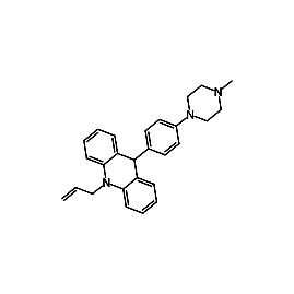 C=CCN1c2ccccc2C(c2ccc(N3CCN(C)CC3)cc2)c2ccccc21